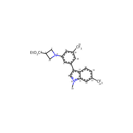 CCOC(=O)C1CN(c2cc(-c3cn(C)c4cc(C(F)(F)F)ccc34)cc(C(F)(F)F)c2)C1